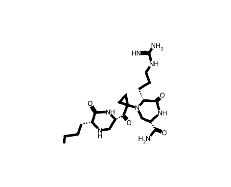 CCCC[C@H]1NC[C@@H](C(=O)C2(N3C[C@@H](C(N)=O)NC(=O)[C@H]3CCCNC(=N)N)CC2)NC1=O